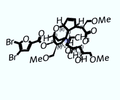 COC[C@@H]1[C@@H](O)[C@@H]2C[C@@H](O[C@@H]3C=C[C@@H]4[C@@H](COC)C(=O)O[C@H]([C@H](O)COC)[C@H](C)/C=C(\C)[C@@]432)[C@@H]1OC(=O)c1cc(Br)c(Br)o1